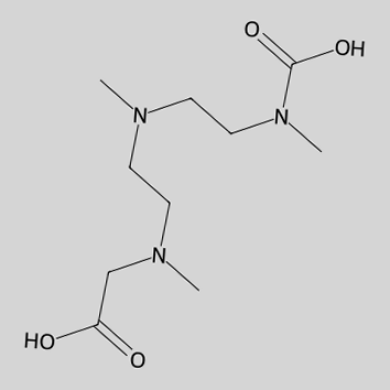 CN(CCN(C)CC(=O)O)CCN(C)C(=O)O